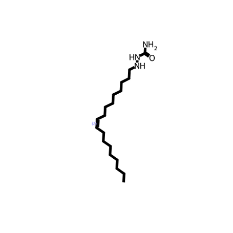 CCCCCCCC/C=C\CCCCCCCCNNC(N)=O